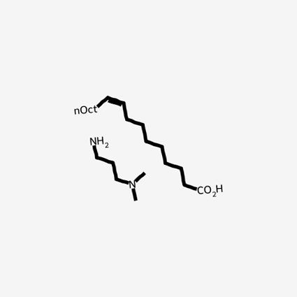 CCCCCCCC/C=C\CCCCCCCC(=O)O.CN(C)CCCN